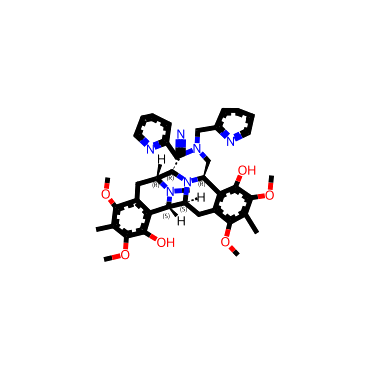 COc1c(C)c(OC)c2c(c1O)[C@H]1[C@@H]3Cc4c(OC)c(C)c(OC)c(O)c4[C@H](CN(Cc4ccccn4)Cc4ccccn4)N3[C@@H](C#N)[C@@H](C2)N1C